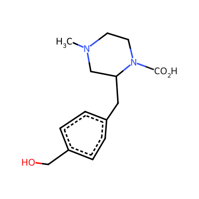 CN1CCN(C(=O)O)C(Cc2ccc(CO)cc2)C1